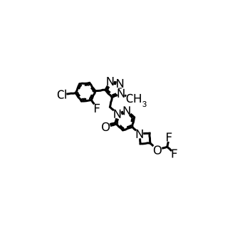 Cn1nnc(-c2ccc(Cl)cc2F)c1Cn1ncc(N2CC(OC(F)F)C2)cc1=O